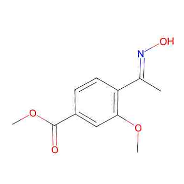 COC(=O)c1ccc(C(C)=NO)c(OC)c1